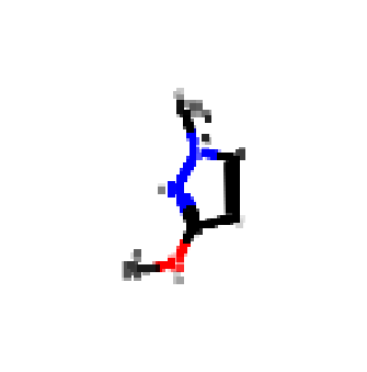 CC(C)Oc1ccn(C)n1